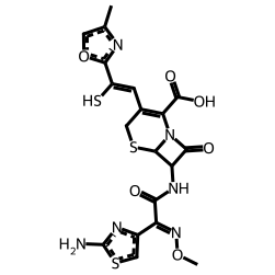 CON=C(C(=O)NC1C(=O)N2C(C(=O)O)=C(C=C(S)c3nc(C)co3)CSC12)c1csc(N)n1